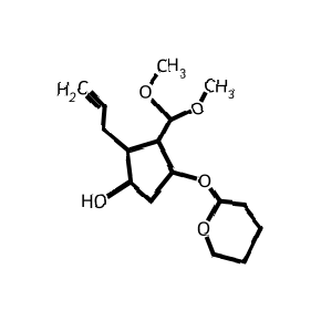 C=CCC1C(O)CC(OC2CCCCO2)C1C(OC)OC